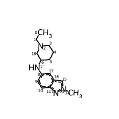 CCN1CCCC(Nc2ccc3nn(C)cc3c2)C1